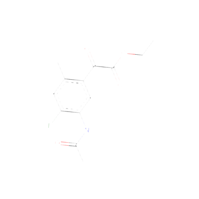 CCOC(=O)C(=O)c1cc(NC(C)=O)c(F)cc1C